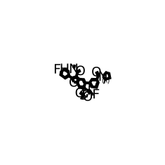 CNC(=O)c1c(-c2ccc(F)cc2)oc2cc(N(CCF)S(C)(=O)=O)c(-c3cccc(C(=O)N4CCC[C@H]4C)c3)cc12